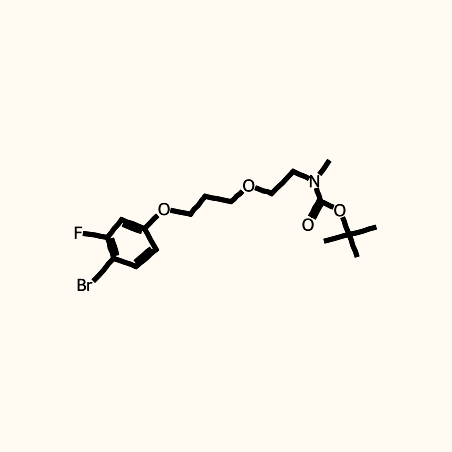 CN(CCOCCCOc1ccc(Br)c(F)c1)C(=O)OC(C)(C)C